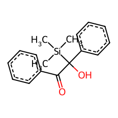 C[Si](C)(C)C(O)(C(=O)c1ccccc1)c1ccccc1